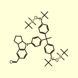 CC(c1ccc(N2c3ccc(C=O)cc3C3CCCC32)cc1)(c1ccc(N(O[Si](C)(C)C(C)(C)C)C(C)(C)C)cc1)c1ccc(N(O[Si](C)(C)C(C)(C)C)C(C)(C)C)cc1